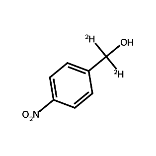 [2H]C([2H])(O)c1ccc([N+](=O)[O-])cc1